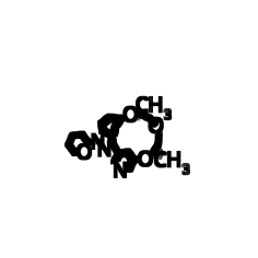 C[C@H]1CCOC[C@H](C)Oc2ccc3c(c2)c(nn3C2CCCCO2)-c2cncc(c2)O1